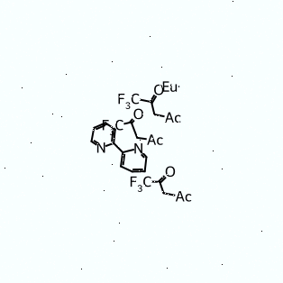 CC(=O)CC(=O)C(F)(F)F.CC(=O)CC(=O)C(F)(F)F.CC(=O)CC(=O)C(F)(F)F.[Eu].c1ccc(-c2ccccn2)nc1